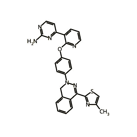 Cc1csc(C2=NN(c3ccc(Oc4ncccc4-c4ccnc(N)n4)cc3)Cc3ccccc32)n1